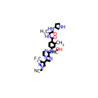 Cc1cc(Nc2nccn3c(-c4cn(CC#N)nc4C(F)(F)F)cnc23)ccc1C(=O)N[C@H](C)C(=O)N[C@@H]1CCNC1.O=CO